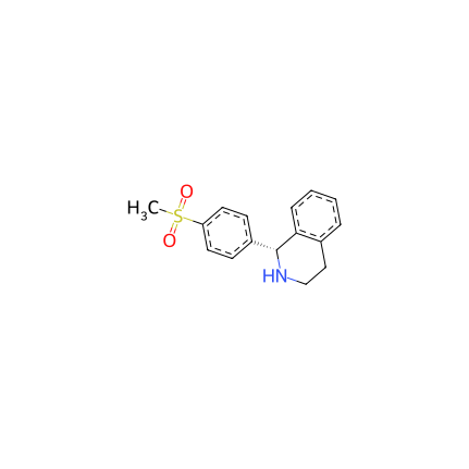 CS(=O)(=O)c1ccc([C@H]2NCCc3ccccc32)cc1